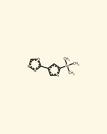 [CH3][Sn]([CH3])([CH3])[c]1cc(-c2nnco2)cs1